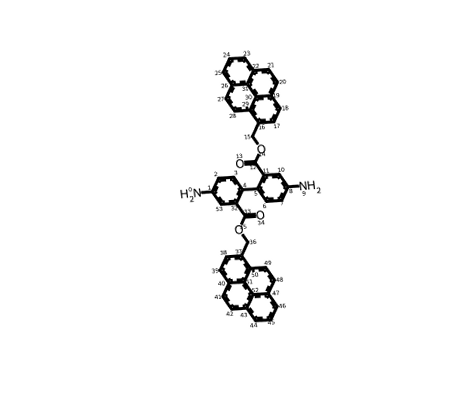 Nc1ccc(-c2ccc(N)cc2C(=O)OCc2ccc3ccc4cccc5ccc2c3c45)c(C(=O)OCc2ccc3ccc4cccc5ccc2c3c45)c1